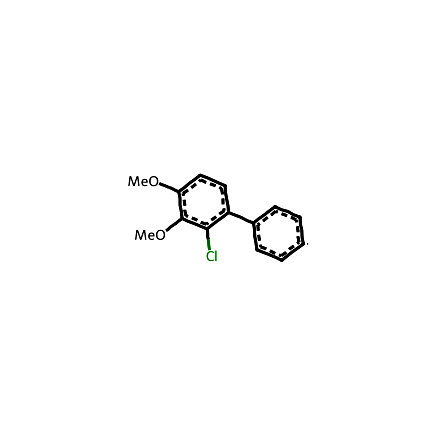 COc1ccc(-c2cc[c]cc2)c(Cl)c1OC